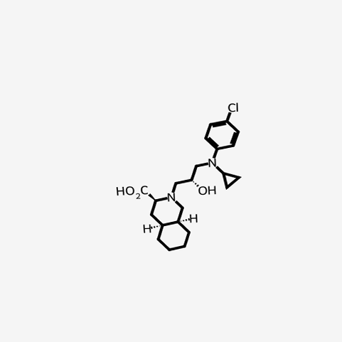 O=C(O)[C@@H]1C[C@@H]2CCCC[C@@H]2CN1C[C@@H](O)CN(c1ccc(Cl)cc1)C1CC1